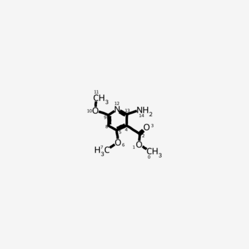 COC(=O)c1c(OC)cc(OC)nc1N